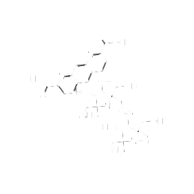 O=C(O)c1ccc2cc3ccc(C(=O)O)nc3cc2n1.OCC(CO)(CO)NC(CO)(CO)CO.OCC(CO)(CO)NC(CO)(CO)CO